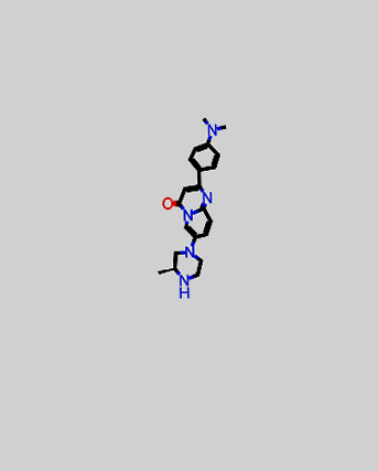 C[C@H]1CN(c2ccc3nc(-c4ccc(N(C)C)cc4)cc(=O)n3c2)CCN1